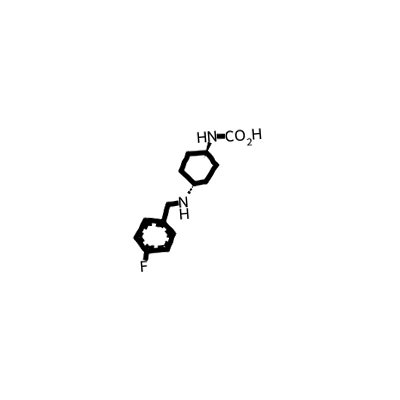 O=C(O)N[C@H]1CC[C@H](NCc2ccc(F)cc2)CC1